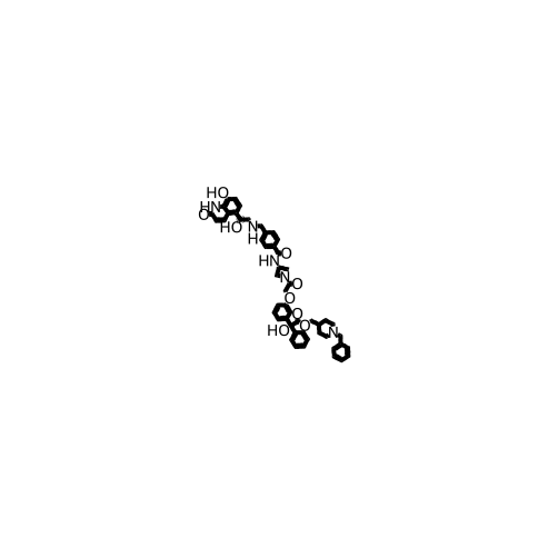 O=C(NC1CN(C(=O)COc2cccc(C(O)(C(=O)OCC3CCN(Cc4ccccc4)CC3)c3ccccc3)c2)C1)c1ccc(CNC[C@H](O)c2ccc(O)c3[nH]c(=O)ccc23)cc1